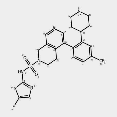 O=S(=O)(Nc1ncc(F)s1)N1CCc2c(cccc2-c2ccc(C(F)(F)F)cc2C2CCNCC2)C1